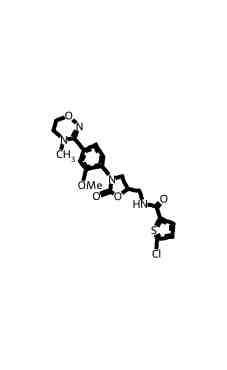 COc1cc(C2=NOCCN2C)ccc1N1CC(CNC(=O)c2ccc(Cl)s2)OC1=O